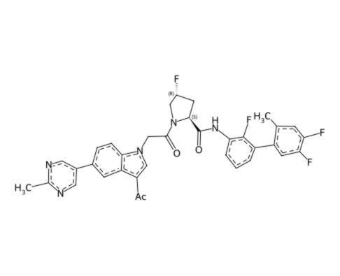 CC(=O)c1cn(CC(=O)N2C[C@H](F)C[C@H]2C(=O)Nc2cccc(-c3cc(F)c(F)cc3C)c2F)c2ccc(-c3cnc(C)nc3)cc12